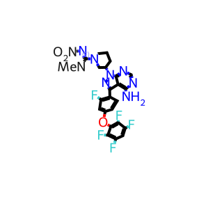 CN/C(=N\[N+](=O)[O-])N1CCCC(n2nc(-c3ccc(Oc4c(F)c(F)cc(F)c4F)cc3F)c3c(N)ncnc32)C1